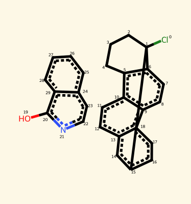 ClC12CCCc3c1ccc1c3ccc3cc2ccc31.Oc1nccc2ccccc12